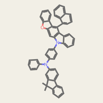 CC1(C)c2ccccc2-c2ccc(N(c3ccccc3)c3ccc(-n4c5ccccc5c5c(-c6cccc7ccccc67)c6c(cc54)oc4ccccc46)cc3)cc21